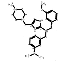 COc1cccc(CN(Cc2cccc(N(C)C)c2)c2nc(CN3CCN(C)CC3)cs2)c1